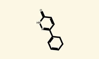 O=c1ccc(C2=CC=CCC2)n[nH]1